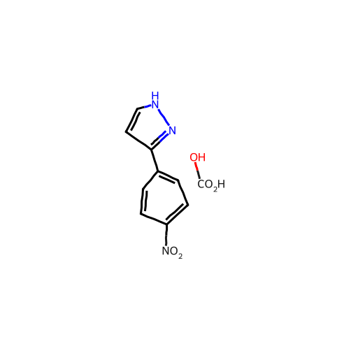 O=C(O)O.O=[N+]([O-])c1ccc(-c2cc[nH]n2)cc1